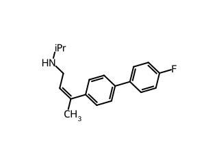 C/C(=C/CNC(C)C)c1ccc(-c2ccc(F)cc2)cc1